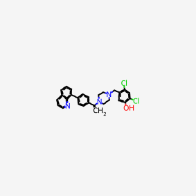 C=C(c1ccc(-c2cccc3cccnc23)cc1)N1CCN(Cc2cc(O)c(Cl)cc2Cl)CC1